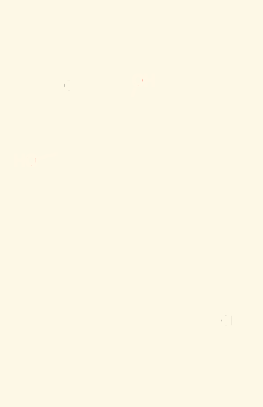 Cc1cc2ccc3c(O)c(C)c(O)c4ccc(c1)c2c34